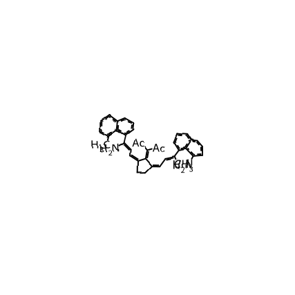 CC(=O)C(C(C)=O)=C1/C(=C\C=C(/N)c2cccc3cccc(C)c23)CC/C1=C/C=C(\C)c1cccc2cccc(N)c12